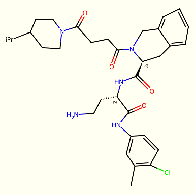 Cc1cc(NC(=O)[C@H](CCN)NC(=O)[C@@H]2Cc3ccccc3CN2C(=O)CCC(=O)N2CCC(C(C)C)CC2)ccc1Cl